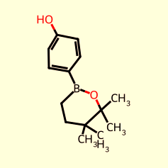 CC1(C)CCB(c2ccc(O)cc2)OC1(C)C